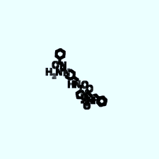 CS(=O)(=O)N[C@H](Cc1ccccc1)C(=O)N1CCC[C@H]1C(=O)NCC1CCN(/C(N)=N/C(=O)C2CCCCC2)CC1